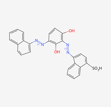 O=S(=O)(O)c1ccc(/N=N/c2c(O)ccc(/N=N/c3cccc4ccccc34)c2O)c2ccccc12